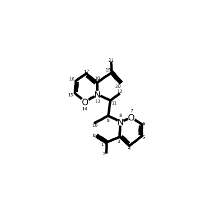 C=C(C)C1=CC=CON1C(C)C(C)N1OC=CC=C1C(=C)C